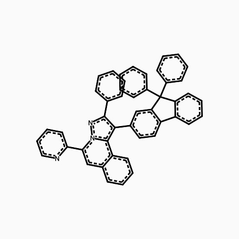 c1ccc(-c2nn3c(-c4ccccn4)cc4ccccc4c3c2-c2ccc3c(c2)C(c2ccccc2)(c2ccccc2)c2ccccc2-3)cc1